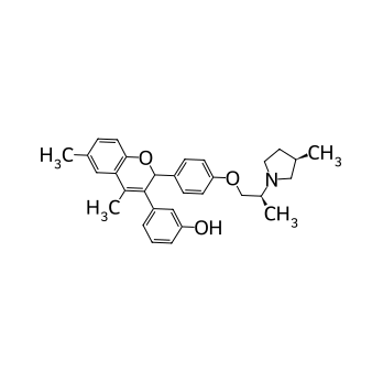 CC1=C(c2cccc(O)c2)C(c2ccc(OC[C@H](C)N3CC[C@@H](C)C3)cc2)Oc2ccc(C)cc21